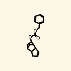 O=C(OCc1ccccc1)OC1CC2CC1C1C=CCC21